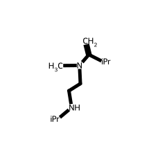 C=C(C(C)C)N(C)CCNC(C)C